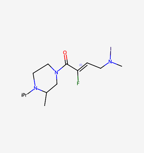 CC(C)N1CCN(C(=O)/C(F)=C/CN(C)I)CC1C